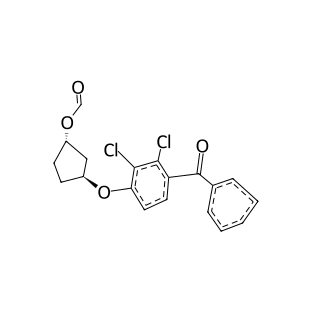 O=CO[C@H]1CC[C@H](Oc2ccc(C(=O)c3ccccc3)c(Cl)c2Cl)C1